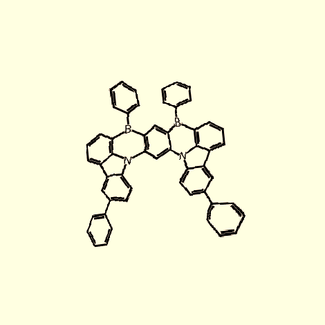 c1ccc(B2c3cc4c(cc3-n3c5ccc(-c6ccccc6)cc5c5cccc2c53)-n2c3ccc(-c5ccccc5)cc3c3cccc(c32)B4c2ccccc2)cc1